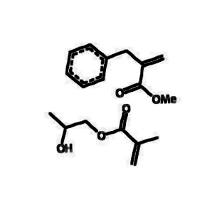 C=C(C)C(=O)OCC(C)O.C=C(Cc1ccccc1)C(=O)OC